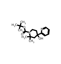 CC(C)(C)OC(=O)N1CCC(O)(c2ccccn2)CC1(C)C